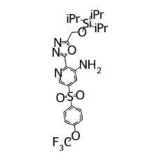 CC(C)[Si](OCc1nnc(-c2ncc(S(=O)(=O)c3ccc(OC(F)(F)F)cc3)cc2N)o1)(C(C)C)C(C)C